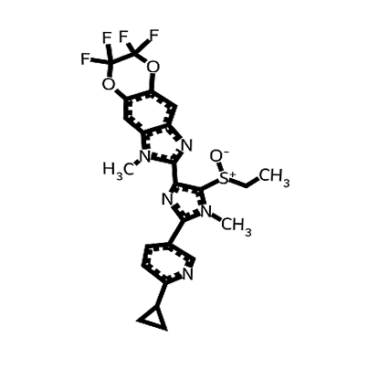 CC[S+]([O-])c1c(-c2nc3cc4c(cc3n2C)OC(F)(F)C(F)(F)O4)nc(-c2ccc(C3CC3)nc2)n1C